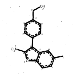 Cc1ccc2oc([N+](=O)[O-])c(-c3ccc(CO)cc3)c2c1